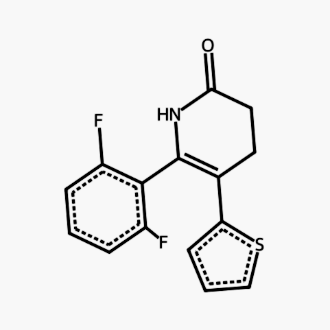 O=C1CCC(c2cccs2)=C(c2c(F)cccc2F)N1